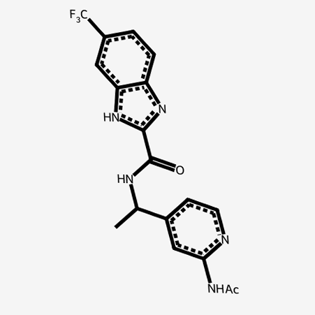 CC(=O)Nc1cc(C(C)NC(=O)c2nc3ccc(C(F)(F)F)cc3[nH]2)ccn1